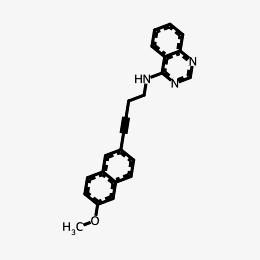 COc1ccc2cc(C#CCCNc3ncnc4ccccc34)ccc2c1